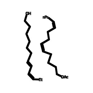 CC/C=C\C=C\CCCCCCO.CCC/C=C\CC/C=C\CCCCOC(C)=O